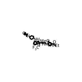 CCNC(=O)c1ccc(NCC#Cc2cc3c(N[C@H]4CC[C@@H](N5CC6(COC6)C5)CC4)cccc3n2CC(F)(F)F)c(OC)c1